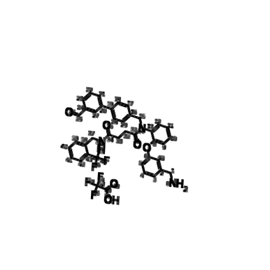 NCc1cccc(Oc2ccccc2N(Cc2ccc(-c3cccc(C=O)c3)cc2)C(=O)CCC(=O)NCc2ccccc2C(F)(F)F)c1.O=C(O)C(F)(F)F